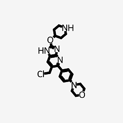 ClCc1cc2[nH]c(OC3CCNCC3)nc2nc1-c1ccc(N2CCOCC2)cc1